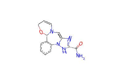 NC(=O)C1=NC2=CN3C=CCOC3c3ccccc3N2N1